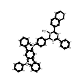 CN1C(c2ccc3c(c2)CCC=C3)=NC(c2ccccc2)=NC1c1ccc(-n2c3ccccc3c3cc4c(cc32)c2ccccc2n4-c2ccccc2)cc1